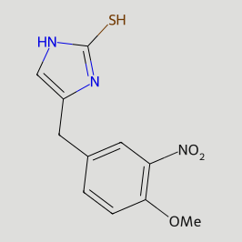 COc1ccc(Cc2c[nH]c(S)n2)cc1[N+](=O)[O-]